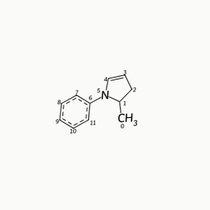 CC1CC=CN1c1ccccc1